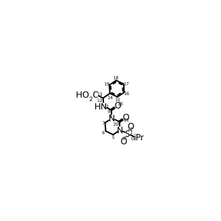 CC(C)S(=O)(=O)N1CCCN(C(=O)NC(C(=O)O)c2ccccc2)C1=O